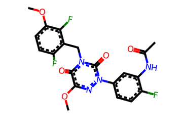 COc1ccc(F)c(Cn2c(=O)c(OC)nn(-c3ccc(F)c(NC(C)=O)c3)c2=O)c1F